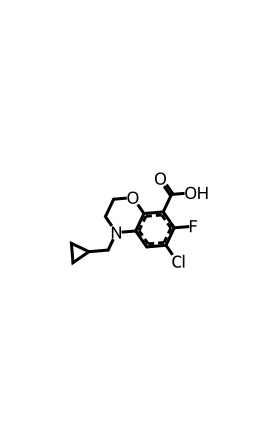 O=C(O)c1c(F)c(Cl)cc2c1OCCN2CC1CC1